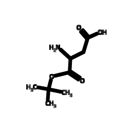 CC(C)(C)OC(=O)C(N)CC(=O)O